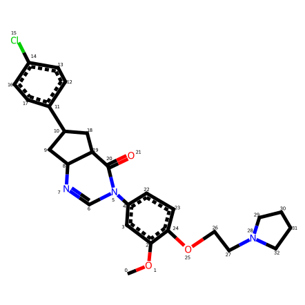 COc1cc(N2C=NC3CC(c4ccc(Cl)cc4)CC3C2=O)ccc1OCCN1CCCC1